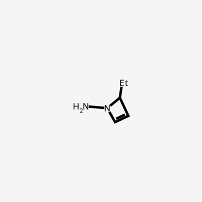 CCC1C=CN1N